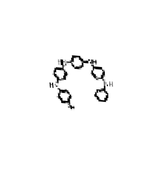 [2H]c1ccc(Nc2ccc(Nc3ccc(Nc4ccc(Nc5ccccc5)cc4)cc3)cc2)cc1